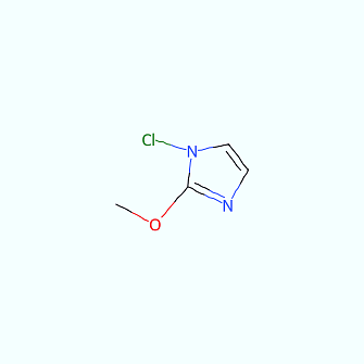 COc1nccn1Cl